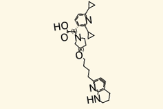 O=C(O)[C@H](c1ccc(C2CC2)nc1C1CC1)N1CC[C@@H](OCCCCc2c#cc3c(n2)NCCC3)C1